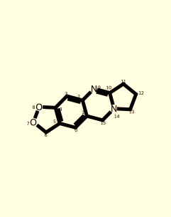 c1c2c(cc3c1COO3)N=C1CCCN1C2